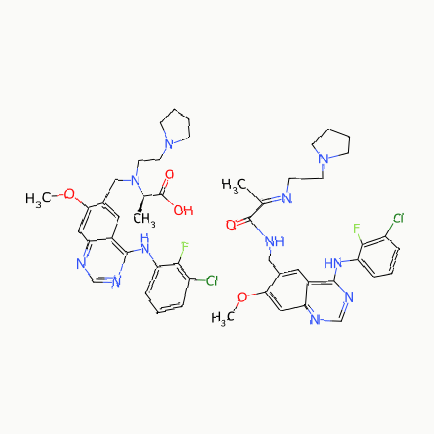 COc1cc2ncnc(Nc3cccc(Cl)c3F)c2cc1CN(CCN1CCCC1)[C@H](C)C(=O)O.COc1cc2ncnc(Nc3cccc(Cl)c3F)c2cc1CNC(=O)C(C)=NCCN1CCCC1